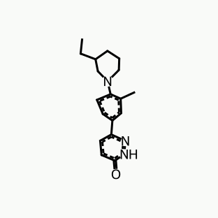 CCC1CCCN(c2ccc(-c3ccc(=O)[nH]n3)cc2C)C1